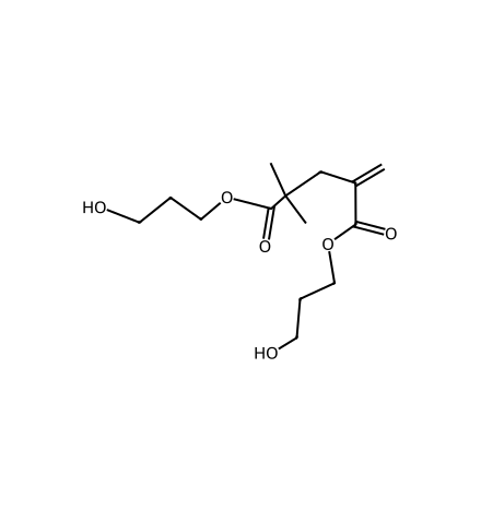 C=C(CC(C)(C)C(=O)OCCCO)C(=O)OCCCO